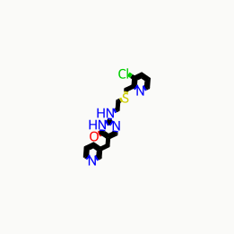 O=c1[nH]c(NCCSCc2ncccc2Cl)ncc1Cc1cccnc1